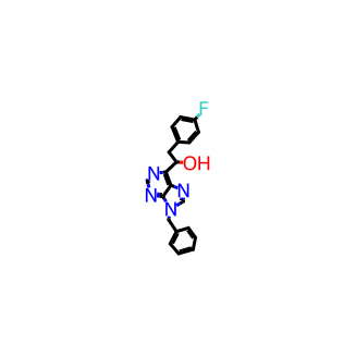 OC(Cc1ccc(F)cc1)c1ncnc2c1ncn2Cc1ccccc1